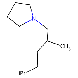 CC(C)CCC(C)CN1CCCC1